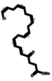 CC/C=C\C/C=C\C/C=C\C/C=C\C/C=C\C=C\C(=O)CCC(=O)OC